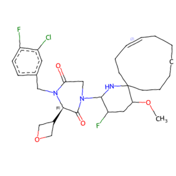 COC1CC(F)C(N2CC(=O)N(Cc3ccc(F)c(Cl)c3)[C@H](C3COC3)C2=O)NC12CC/C=C\CCCCCC2